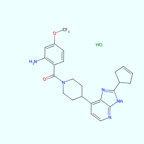 Cl.Nc1cc(OC(F)(F)F)ccc1C(=O)N1CCC(c2ccnc3[nH]c(C4CC=CC4)nc23)CC1